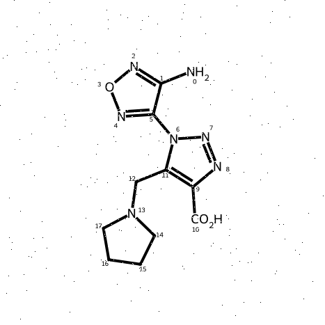 Nc1nonc1-n1nnc(C(=O)O)c1CN1CCCC1